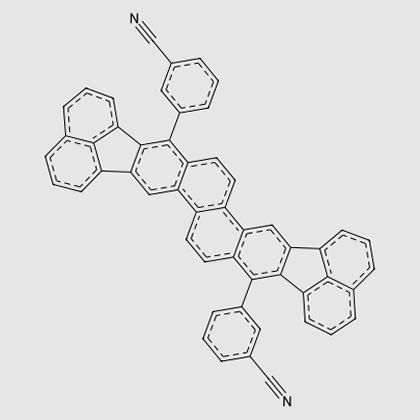 N#Cc1cccc(-c2c3c(cc4c2ccc2c5cc6c(c(-c7cccc(C#N)c7)c5ccc42)-c2cccc4cccc-6c24)-c2cccc4cccc-3c24)c1